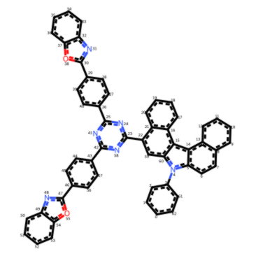 c1ccc(-n2c3ccc4ccccc4c3c3c4ccccc4c(-c4nc(-c5ccc(-c6nc7ccccc7o6)cc5)nc(-c5ccc(-c6nc7ccccc7o6)cc5)n4)cc32)cc1